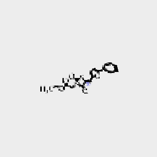 CCOC(=O)CN1C(=O)S/C(=C\c2ccc(-c3ccccc3)o2)C1=O